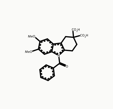 COc1cc2c3c(n(C(=O)c4ccccc4)c2cc1OC)CCC(C(=O)O)(C(=O)O)C3